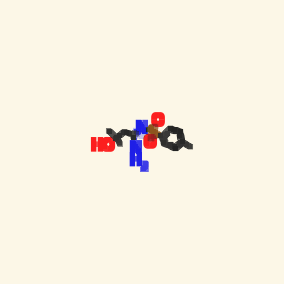 Cc1ccc(S(=O)(=O)/N=C(\N)CC(C)(C)O)cc1